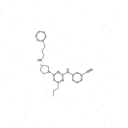 CCCc1cc(N2CC[C@H](NCCCc3ccccc3)C2)nc(Nc2cccc(C#N)c2)n1